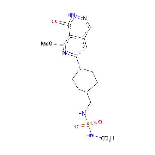 COc1nc(N2CCC(CNS(=O)(=O)NC(=O)O)CC2)cc2cn[nH]c(=O)c12